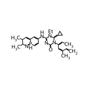 C=C/C(C)=C\C(=C/C)N1C(=O)N=C(NC2=CC3=CC(C)C(C)N=[PH]3C=C2)N(CC)C1=C1CC1